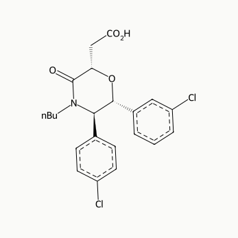 CCCCN1C(=O)[C@H](CC(=O)O)O[C@H](c2cccc(Cl)c2)[C@H]1c1ccc(Cl)cc1